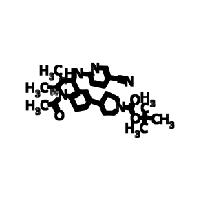 CC(=O)N1c2ccc(C3CCN(C(=O)OC(C)(C)C)CC3)cc2C(Nc2ccc(C#N)cn2)[C@@H](C)[C@@H]1C